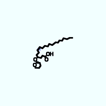 CCCCCCCCCCCCC/C=C\CCC(CCC(=O)O)O[C@@H]1CCCCO1